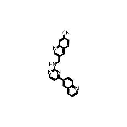 N#Cc1ccc2cc(CNc3nccc(-c4ccc5ncccc5c4)n3)cnc2c1